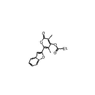 CCC(=O)Oc1c(C)c(-c2cc3ccccc3o2)oc(=O)c1C